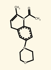 CC(=O)N1C(C)=CCc2cc(N3CCOCC3)ccc21